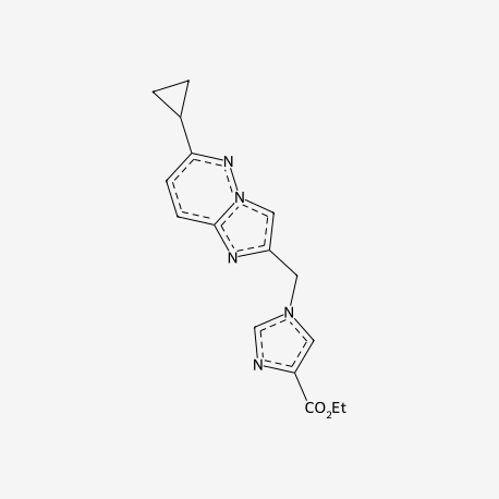 CCOC(=O)c1cn(Cc2cn3nc(C4CC4)ccc3n2)cn1